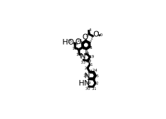 COCC(C)Oc1cccc(C(CC(=O)O)CN2CC[C@@H](CCc3ccc4c(n3)NCCC4)C2)c1